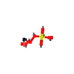 O.O=S(=O)(O)OO.[Zn]